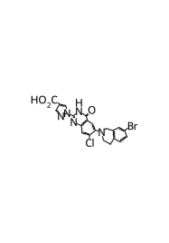 O=C(O)c1cnn(-c2nc3cc(Cl)c(N4CCc5ccc(Br)cc5C4)cc3c(=O)[nH]2)c1